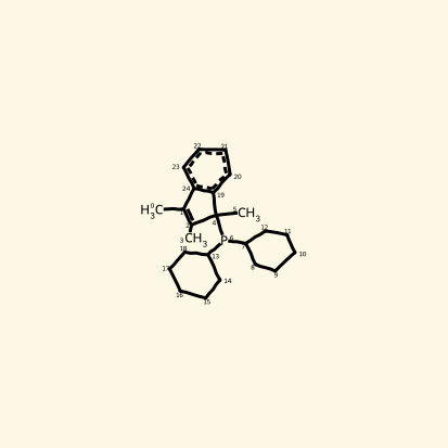 CC1=C(C)C(C)(P(C2CCCCC2)C2CCCCC2)c2ccccc21